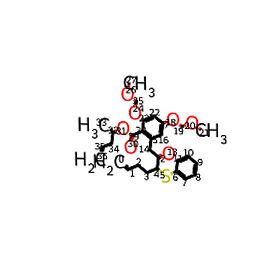 C=CCCC(Sc1ccccc1)C(=O)Cc1cc(OCOC)cc(OCOC)c1C(=O)OC(C)CC=C